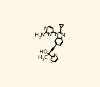 CC(O)(C#Cc1ccc2nc(C3CC3)n(-c3ccnc(N)n3)c2c1)c1nccs1